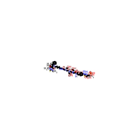 CC(OP(=O)(O)O)C(NC(=S)Nc1ccc(CC(NC(=O)CN(CCN(CCN(CC(=O)O)CC(=O)NCCCCCCN2c3ccccc3C(C)(C)C2C2C(=O)N(C)C(=S)N(C)C2=O)CC(=O)O)CC(=O)O)C(=O)O)cc1)C(=O)O